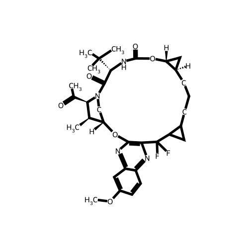 COc1ccc2nc3c(nc2c1)O[C@H]1CN(C(=O)[C@H](C(C)(C)C)NC(=O)O[C@@H]2C[C@H]2CCCC2CC2C3(F)F)[C@H](C(C)=O)[C@@H]1C